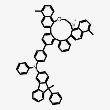 Cc1cccc2c3c(ccc12)-c1ccc(-c2ccc(N(c4ccccc4)c4ccc5c(c4)-c4ccccc4C5(C)c4ccccc4)cc2)cc1-c1ccccc1-c1ccc2c(C)cccc2c1[C@@H](C)CO3